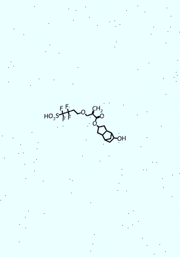 C=C(COCCC(F)(F)C(F)(F)S(=O)(=O)O)C(=O)OC1CC2C3CC(O)C(C3)C2C1